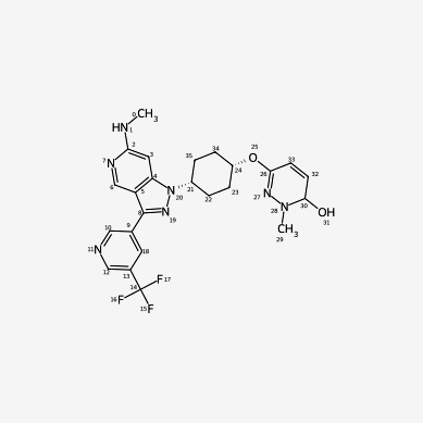 CNc1cc2c(cn1)c(-c1cncc(C(F)(F)F)c1)nn2[C@H]1CC[C@@H](OC2=NN(C)C(O)C=C2)CC1